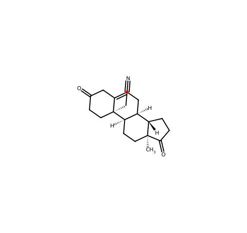 C[C@]12CC[C@@H]3[C@@H](CC=C4CC(=O)CC[C@@]43CC#N)[C@@H]1CCC2=O